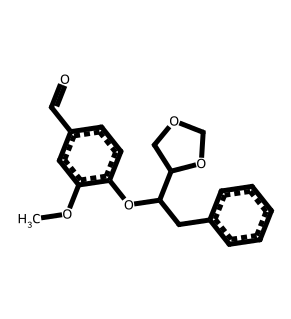 COc1cc(C=O)ccc1OC(Cc1ccccc1)C1COCO1